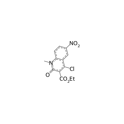 CCOC(=O)c1c(Cl)c2cc([N+](=O)[O-])ccc2n(C)c1=O